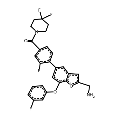 NCc1cc2cc(-c3ccc(C(=O)N4CCC(F)(F)CC4)cc3F)cc(Oc3cccc(F)c3)c2o1